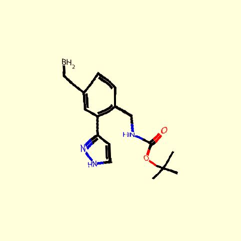 BCc1ccc(CNC(=O)OC(C)(C)C)c(-c2cc[nH]n2)c1